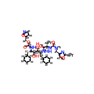 CC(C)c1nc(CN(C)C(=O)N[C@H](C(=O)N[C@@H](Cc2ccccc2)[C@@H](O)[C@H](O)[C@H](Cc2ccccc2)NC(=O)OCc2ccno2)C(C)C)co1